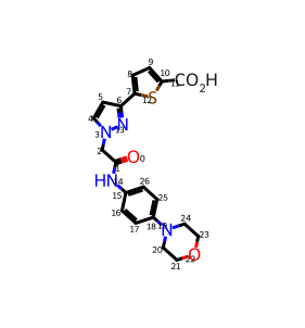 O=C(Cn1ccc(-c2ccc(C(=O)O)s2)n1)Nc1ccc(N2CCOCC2)cc1